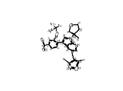 Cc1noc(C)c1-c1cnc2c(c1)c(-c1ccc(C(=O)O)cc1OC(F)(F)F)cn2C1(C)CCOC1